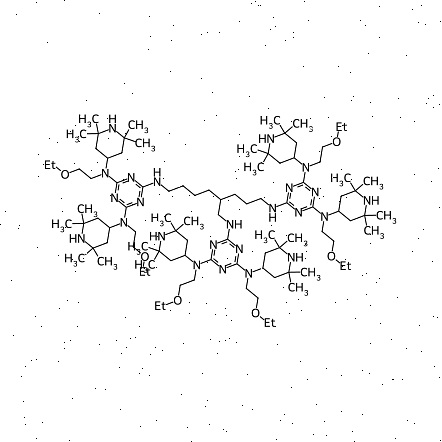 CCOCCN(c1nc(NCCCCC(CCCNc2nc(N(CCOCC)C3CC(C)(C)NC(C)(C)C3)nc(N(CCOCC)C3CC(C)(C)NC(C)(C)C3)n2)CNc2nc(N(CCOCC)C3CC(C)(C)NC(C)(C)C3)nc(N(CCOCC)C3CC(C)(C)NC(C)(C)C3)n2)nc(N(CCOCC)C2CC(C)(C)NC(C)(C)C2)n1)C1CC(C)(C)NC(C)(C)C1